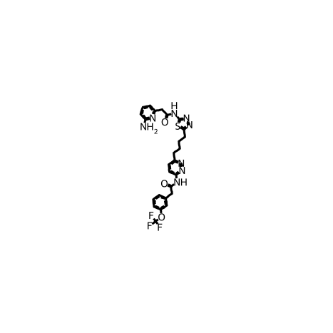 Nc1cccc(CC(=O)Nc2nnc(CCCCc3ccc(NC(=O)Cc4cccc(OC(F)(F)F)c4)nn3)s2)n1